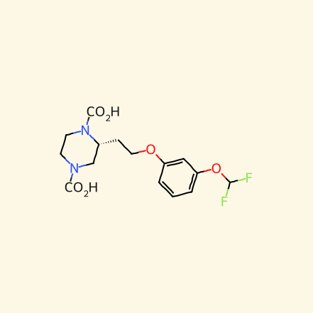 O=C(O)N1CCN(C(=O)O)[C@H](CCOc2cccc(OC(F)F)c2)C1